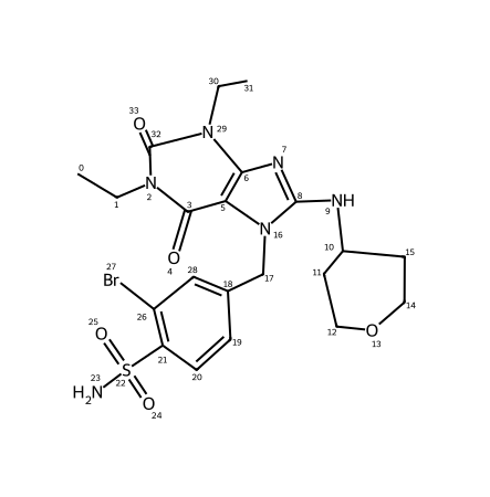 CCn1c(=O)c2c(nc(NC3CCOCC3)n2Cc2ccc(S(N)(=O)=O)c(Br)c2)n(CC)c1=O